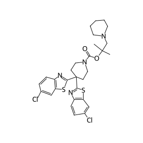 CC(C)(CN1CCCCC1)OC(=O)N1CCC(c2nc3ccc(Cl)cc3s2)(c2nc3ccc(Cl)cc3s2)CC1